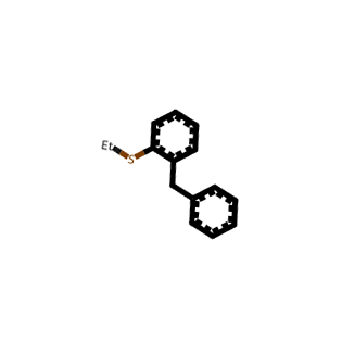 CCSc1ccccc1Cc1ccccc1